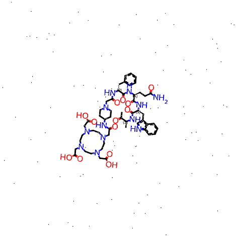 CC(=O)[C@H](C)NC(=O)[C@H](Cc1c[nH]c2ccccc12)NC(=O)[C@H](CCC(N)=O)NC(=O)[C@@H](Cc1ccccc1)NC(=O)CN1CCC(NC(=O)CN2CCN(CC(=O)O)CCN(CC(=O)O)CCN(CC(=O)O)CC2)CC1